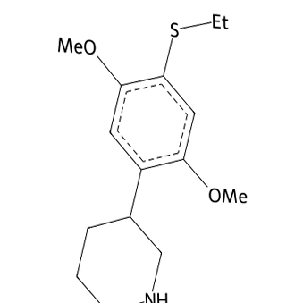 CCSc1cc(OC)c(C2CCCNC2)cc1OC